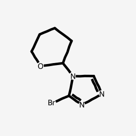 Brc1nncn1C1CCCCO1